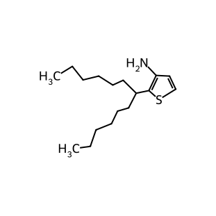 CCCCCCC(CCCCCC)c1sccc1N